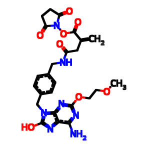 C=C(CC(=O)NCc1ccc(Cn2c(O)nc3c(N)nc(OCCOC)nc32)cc1)C(=O)ON1C(=O)CCC1=O